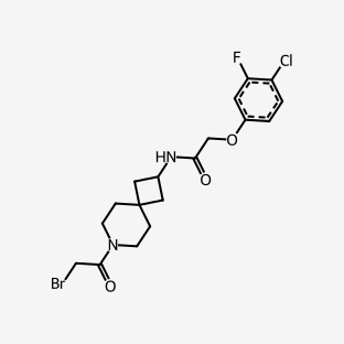 O=C(COc1ccc(Cl)c(F)c1)NC1CC2(CCN(C(=O)CBr)CC2)C1